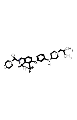 CC(C)CN1CCC(Nc2cccc(Sc3ccc(/C=C/C(=O)N4CCOCC4)c(C(F)(F)F)c3C(F)(F)F)c2)CC1